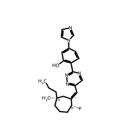 CCC[C@]1(C)CCC[C@@H](F)/C(=C/c2cnc(-c3ccc(-n4ccnc4)cc3O)nn2)C1